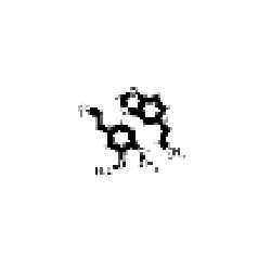 C=CCc1ccc(OC)c(OC)c1.C=CCc1ccc2c(c1)OCO2